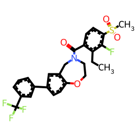 CCc1c(C(=O)N2CCOc3ccc(-c4cccc(C(F)(F)F)c4)cc3C2)ccc(S(C)(=O)=O)c1F